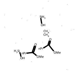 C.C.CCCC(=O)OC.CCCC(=O)OC.O[SiH3].O[SiH3]